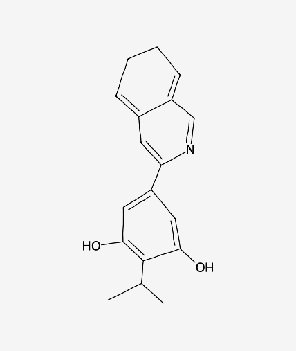 CC(C)c1c(O)cc(-c2cc3c(cn2)=CCCC=3)cc1O